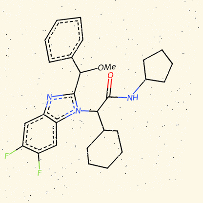 COC(c1ccccc1)c1nc2cc(F)c(F)cc2n1C(C(=O)NC1CCCC1)C1CCCCC1